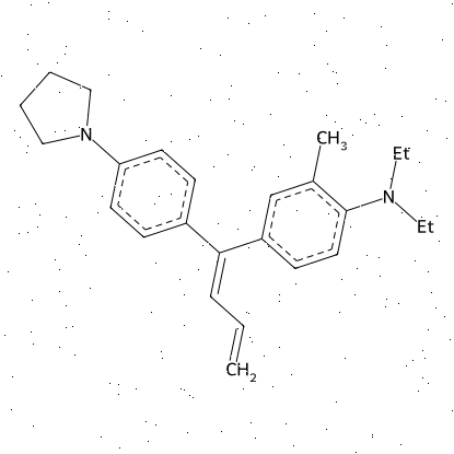 C=C/C=C(/c1ccc(N2CCCC2)cc1)c1ccc(N(CC)CC)c(C)c1